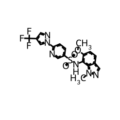 COc1ccc2cnn(C)c2c1NS(=O)(=O)c1ccc(-n2cc(C(F)(F)F)cn2)nc1